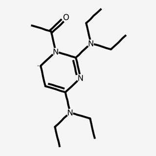 CCN(CC)C1=C[CH]N(C(C)=O)C(N(CC)CC)=N1